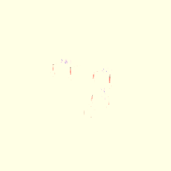 CC(=O)NC(C)=O.CC(=O)NC(C)=O.CC(=O)NC(C)=O.[GaH3]